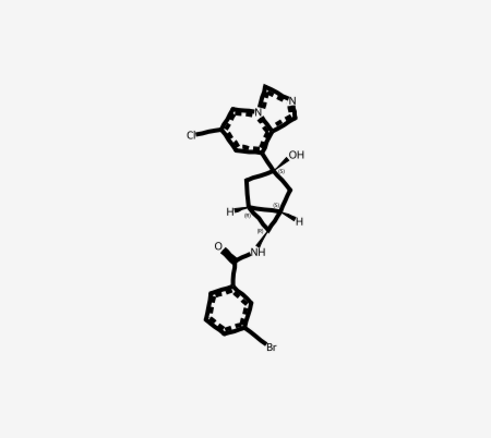 O=C(N[C@H]1[C@@H]2C[C@](O)(c3cc(Cl)cn4cncc34)C[C@@H]21)c1cccc(Br)c1